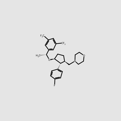 C[C@@H](O[C@H]1CC[C@@H](CN2CCOCC2)[C@@H]1c1ccc(F)cc1)c1cc(C(F)(F)F)cc(C(F)(F)F)c1